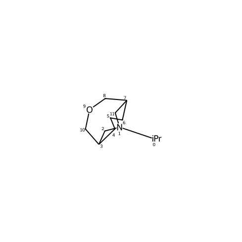 CC(C)N1CC2CCCC(COC2)C1